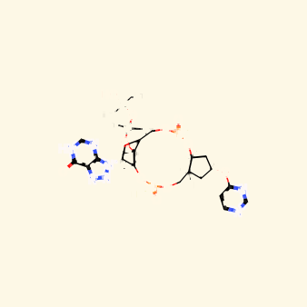 CC(C)[Si](O)(O[Si](O[C@@H]1C2CO[P@](=O)(S)O[C@H]3C[C@H](Oc4ccncn4)C[C@@H]3CO[P@](=O)(S)O[C@H]1[C@H](n1nnc3c(=O)[nH]cnc31)C2)(C(C)C)C(C)C)C(C)C